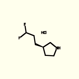 Cl.FC(F)CC[C@@H]1CCNC1